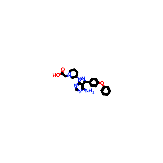 Nc1ncnc2c1c(-c1ccc(Oc3ccccc3)cc1)nn2[C@H]1CCCN(CC(=O)O)C1